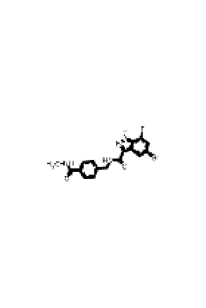 CNC(=O)c1ccc(CNC(=O)c2n[nH]c3c(F)cc(Br)cc23)cc1